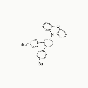 CCC(C)c1ccc(-c2ccc(N3c4ccccc4Oc4ccccc43)cc2-c2ccc(C(C)CC)cc2)cc1